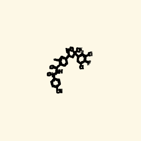 Cc1cc(C2=NOC(c3cc(Cl)c(F)c(Cl)c3)(C(F)(F)F)C2)ccc1C(=O)N[S+]([O-])c1ccc(C#N)cc1